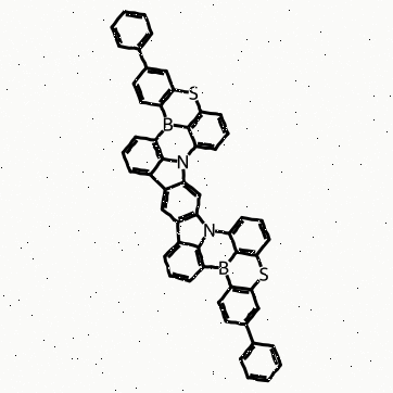 c1ccc(-c2ccc3c(c2)Sc2cccc4c2B3c2cccc3c5cc6c7cccc8c7n(c6cc5n-4c23)-c2cccc3c2B8c2ccc(-c4ccccc4)cc2S3)cc1